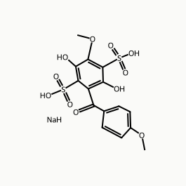 COc1ccc(C(=O)c2c(O)c(S(=O)(=O)O)c(OC)c(O)c2S(=O)(=O)O)cc1.[NaH]